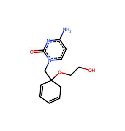 Nc1ccn(CC2(OCCO)C=CC=CC2)c(=O)n1